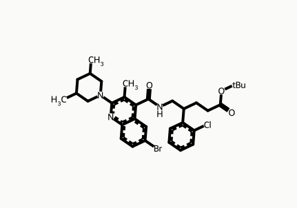 Cc1c(N2CC(C)CC(C)C2)nc2ccc(Br)cc2c1C(=O)NCC(CCC(=O)OC(C)(C)C)c1ccccc1Cl